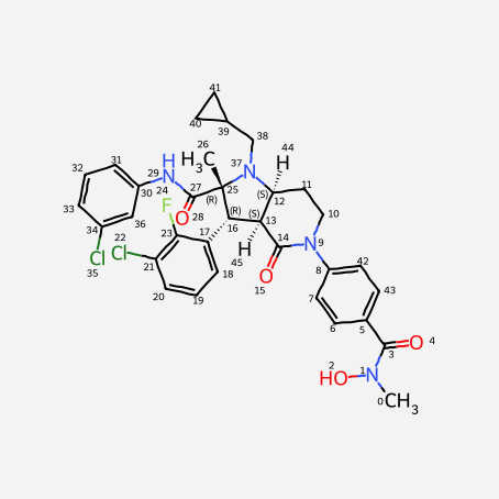 CN(O)C(=O)c1ccc(N2CC[C@H]3[C@@H](C2=O)[C@H](c2cccc(Cl)c2F)[C@](C)(C(=O)Nc2cccc(Cl)c2)N3CC2CC2)cc1